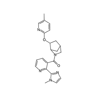 Cc1ccc(OC2CC3CC2N(C(=O)c2cccnc2-c2nccn2C)C3)nc1